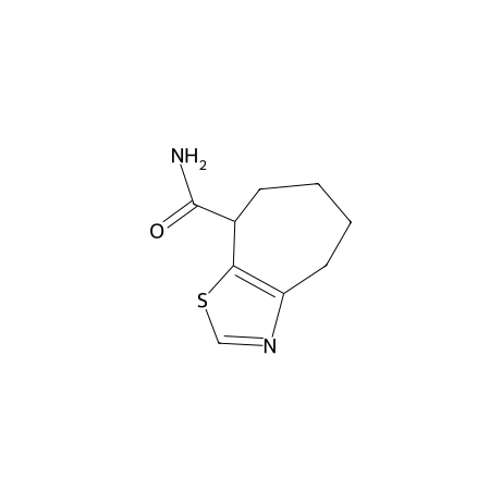 NC(=O)C1CCCCc2ncsc21